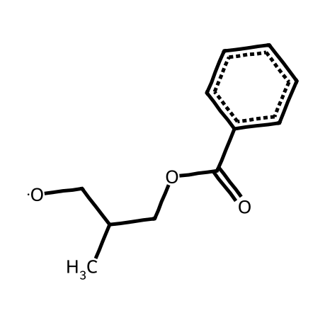 CC(C[O])COC(=O)c1ccccc1